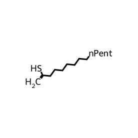 C=C(S)CCCCCCCCCCCC